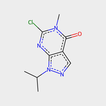 CC(C)n1ncc2c(=O)n(C)c(Cl)nc21